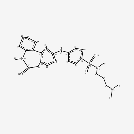 CN(C)CCCN(C)S(=O)(=O)c1ccc(Nc2ncc3c(n2)-c2ccccc2N(C)C(=O)C3)cc1